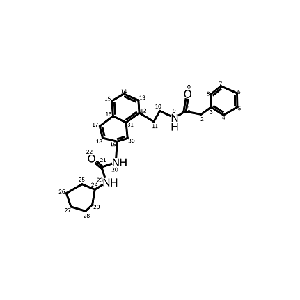 O=C(Cc1ccccc1)NCCc1cccc2ccc(NC(=O)NC3CCCCC3)cc12